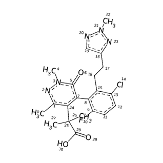 Cc1nn(C)c(=O)c(-c2c(F)ccc(Cl)c2CCc2cnn(C)n2)c1C(C)(C)C(=O)O